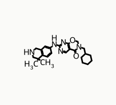 CC1(C)CNCc2cc(Nc3ncc4c(n3)OCN(CC3CCCCC3)C4=O)ccc21